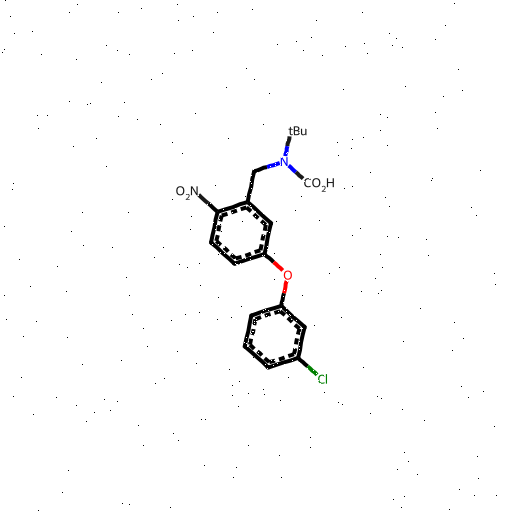 CC(C)(C)N(Cc1cc(Oc2cccc(Cl)c2)ccc1[N+](=O)[O-])C(=O)O